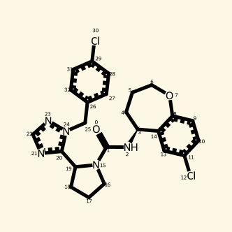 O=C(N[C@H]1CCCOc2ccc(Cl)cc21)N1CCCC1c1ncnn1Cc1ccc(Cl)cc1